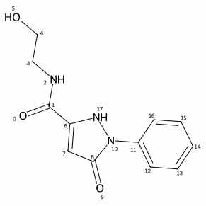 O=C(NCCO)c1cc(=O)n(-c2ccccc2)[nH]1